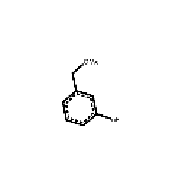 CCCc1cccc(COC)c1